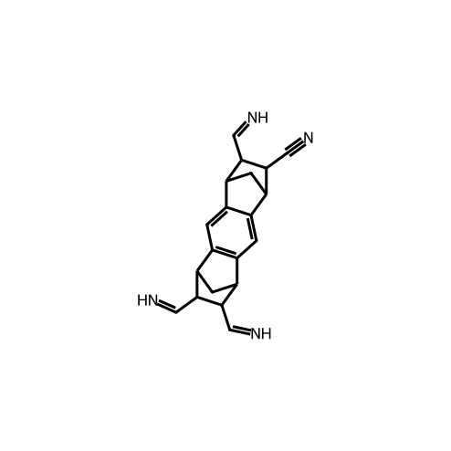 N#CC1C2CC(c3cc4c(cc32)C2CC4C(C=N)C2C=N)C1C=N